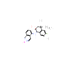 COc1c(F)c(C)cc2c1C(C)(C)CC(O)(C(F)(F)F)C2Nc1cccc2c1C=C[N+](=O)C2